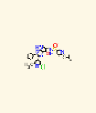 Cc1ccc([S+]([O-])NCc2c[nH]c3nc(-c4ccccc4)c(-c4cc(C)nc(Cl)c4)nc3c2=O)cn1